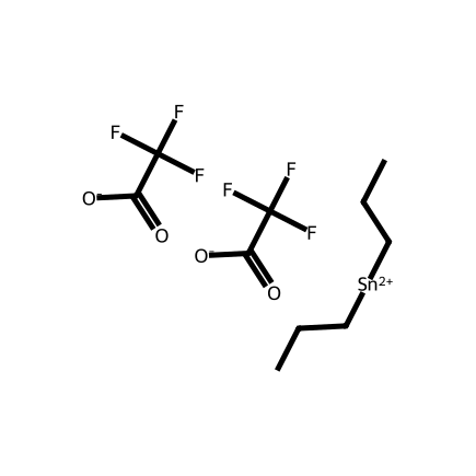 CC[CH2][Sn+2][CH2]CC.O=C([O-])C(F)(F)F.O=C([O-])C(F)(F)F